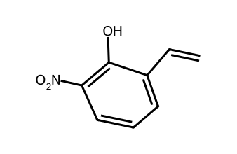 C=Cc1cccc([N+](=O)[O-])c1O